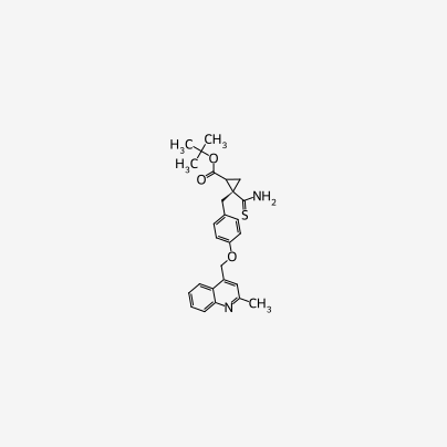 Cc1cc(COc2ccc(C[C@]3(C(N)=S)CC3C(=O)OC(C)(C)C)cc2)c2ccccc2n1